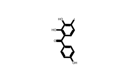 O=C(c1ccc(O)cc1)c1ccc(I)c(O)c1O